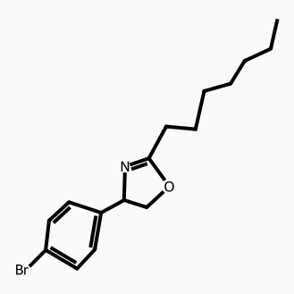 CCCCCCCC1=NC(c2ccc(Br)cc2)CO1